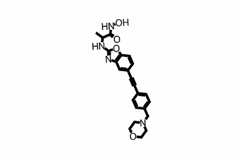 CC(Nc1nc2cc(C#Cc3ccc(CN4CCOCC4)cc3)ccc2o1)C(=O)NO